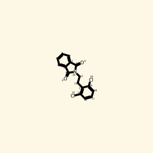 O=C1c2ccccc2C(=O)N1CCc1c(Cl)cccc1Cl